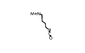 CNCCCCN=C=O